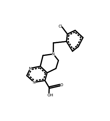 O=C(O)c1ncnc2c1CCN(Cc1ccccc1Cl)C2